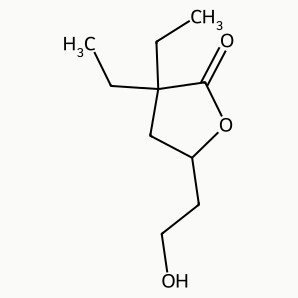 CCC1(CC)CC(CCO)OC1=O